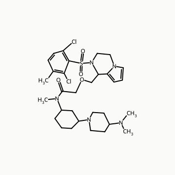 Cc1ccc(Cl)c(S(=O)(=O)N2CCn3cccc3C2COCC(=O)N(C)C2CCCC(N3CCC(N(C)C)CC3)C2)c1Cl